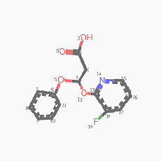 O=C(O)CC(Oc1ccccc1)Oc1ncccc1F